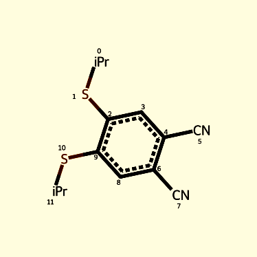 CC(C)Sc1cc(C#N)c(C#N)cc1SC(C)C